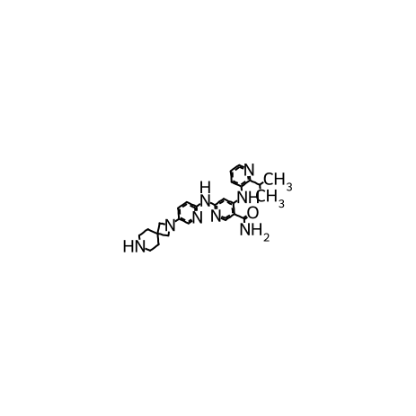 CC(C)c1ncccc1Nc1cc(Nc2ccc(N3CC4(CCNCC4)C3)cn2)ncc1C(N)=O